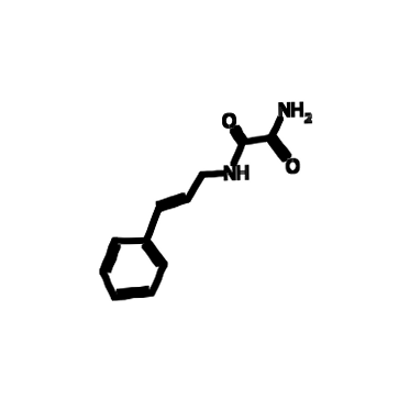 NC(=O)C(=O)NCC=Cc1ccccc1